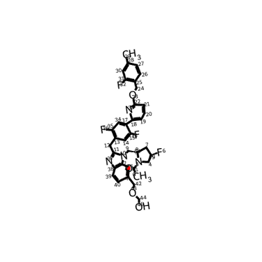 CC(=O)N1C[C@H](F)C[C@@H]1Cn1c(Cc2cc(F)c(-c3cccc(OCc4ccc(C)cc4F)n3)cc2F)nc2ccc(COCO)cc21